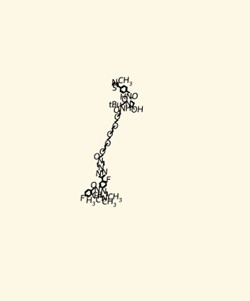 Cc1ncsc1-c1ccc(CNC(=O)[C@@H]2C[C@@H](O)CN2C(=O)C(NC(=O)COCCOCCOCCOCCOCC(=O)N2CCN(c3ncc(-c4cc(NC(=O)c5ccc(F)cc5C(F)(F)F)c(N5C[C@@H](C)N(C)[C@@H](C)C5)cc4F)cn3)CC2)C(C)(C)C)cc1